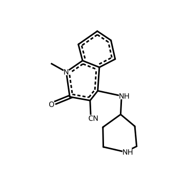 Cn1c(=O)c(C#N)c(NC2CCNCC2)c2ccccc21